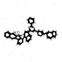 CC1(C)c2cc3ccccc3cc2-c2cccc(-c3ccc(-c4cc(-c5ccc(-c6ccc7ccccc7c6)cc5)nc(-c5ccccc5)n4)c4ccccc34)c21